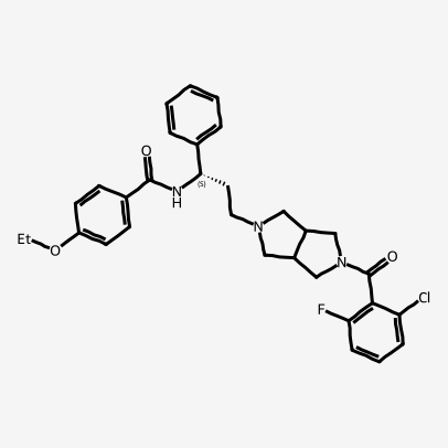 CCOc1ccc(C(=O)N[C@@H](CCN2CC3CN(C(=O)c4c(F)cccc4Cl)CC3C2)c2ccccc2)cc1